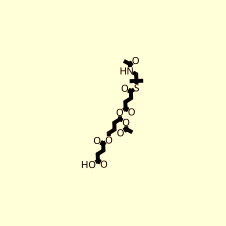 CC(=O)NCC(C)(C)SC(=O)CCC(=O)OC(CCCOC(=O)CCC(=O)O)OC(C)=O